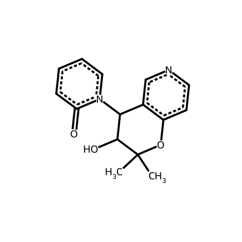 CC1(C)Oc2ccncc2C(n2ccccc2=O)C1O